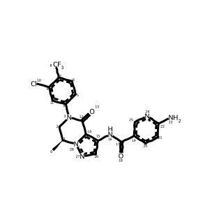 C[C@H]1CN(c2ccc(C(F)(F)F)c(Cl)c2)C(=O)c2c(NC(=O)c3ccc(N)nc3)cnn21